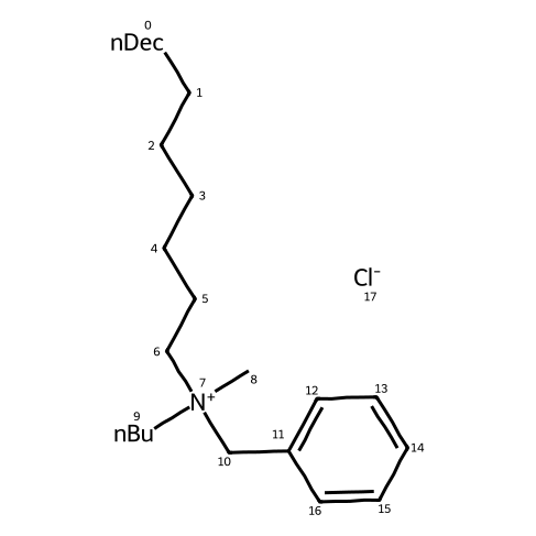 CCCCCCCCCCCCCCCC[N+](C)(CCCC)Cc1ccccc1.[Cl-]